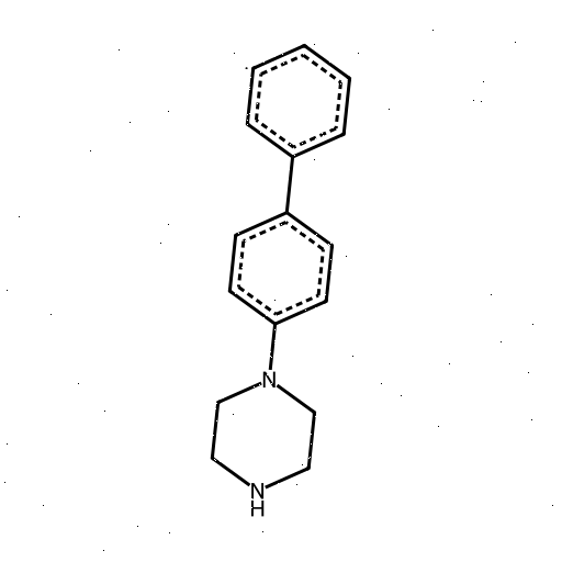 [c]1cccc(-c2ccc(N3CCNCC3)cc2)c1